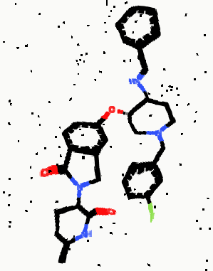 C=C1CCC(N2Cc3cc(O[C@H]4CN(Cc5cccc(F)c5)CC[C@@H]4NCc4ccccc4)ccc3C2=O)C(=O)N1